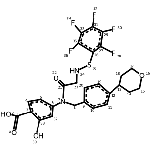 O=C(O)c1ccc(N(Cc2ccc(C3CCOCC3)cc2)C(=O)CNSc2c(F)c(F)c(F)c(F)c2F)cc1O